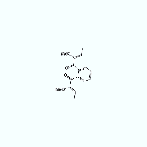 CC=C(OC)C(=O)c1ccccc1C(=O)C(=CC)OC